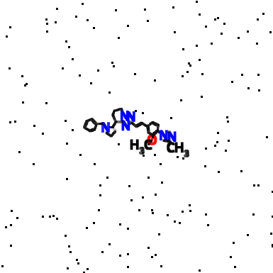 COc1cc(/C=C/c2nc3n(n2)CCC[C@@H]3[C@@H]2CCCN2Cc2ccccc2)ccc1-n1cnc(C)c1